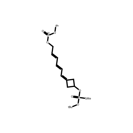 CSP(=O)(OC1CC(=C/C=C/C=C/CO[PH](=O)OC(C)C)C1)OC(C)(C)C